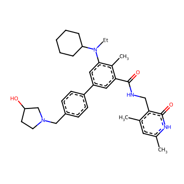 CCN(c1cc(-c2ccc(CN3CCC(O)C3)cc2)cc(C(=O)NCc2c(C)cc(C)[nH]c2=O)c1C)C1CCCCC1